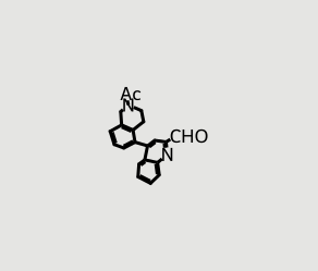 CC(=O)N1CCc2c(cccc2-c2cc(C=O)nc3ccccc23)C1